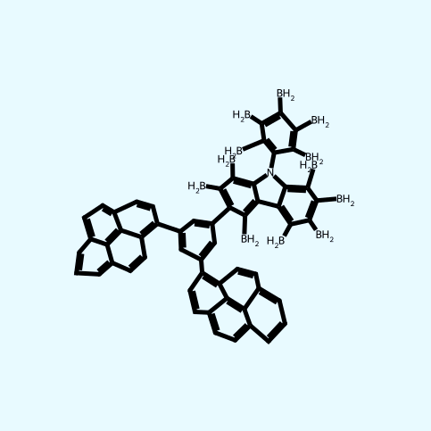 Bc1c(B)c(B)c(-n2c3c(B)c(B)c(B)c(B)c3c3c(B)c(-c4cc(-c5ccc6ccc7cccc8ccc5c6c78)cc(-c5ccc6ccc7cccc8ccc5c6c78)c4)c(B)c(B)c32)c(B)c1B